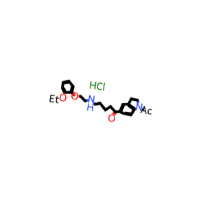 CCOc1ccccc1OCCNCCCCC(=O)c1ccc2c(c1)CCN2C(C)=O.Cl